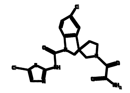 NC(=O)C(=O)N1CCC2(C1)CN(C(=O)Nc1ncc(Cl)s1)c1ccc(Cl)cc12